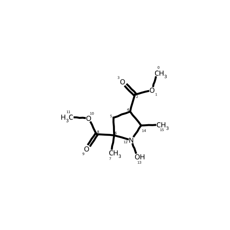 COC(=O)C1CC(C)(C(=O)OC)N(O)C1C